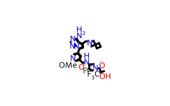 COc1ncc(-c2cc(CN3CC4(CCC4)C3)c3c(N)ncnn23)cc1C(=O)N[C@@H]1CN(C(=O)C(C)(O)C(F)(F)F)C[C@@H]1F